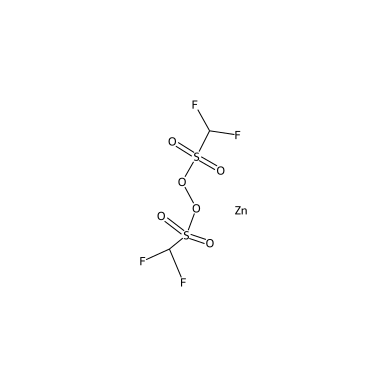 O=S(=O)(OOS(=O)(=O)C(F)F)C(F)F.[Zn]